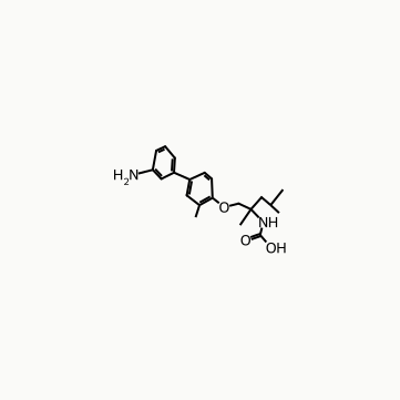 Cc1cc(-c2cccc(N)c2)ccc1OCC(C)(CC(C)C)NC(=O)O